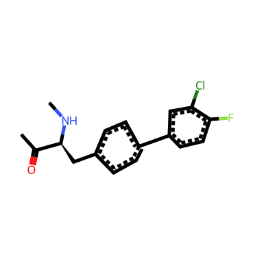 CN[C@@H](Cc1ccc(-c2ccc(F)c(Cl)c2)cc1)C(C)=O